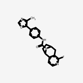 Cc1ncoc1-c1ccc(NC(=O)N2C3CCC2c2ccnc(F)c2C3)cc1